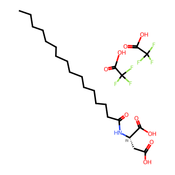 CCCCCCCCCCCCCCCC(=O)N[C@@H](CC(=O)O)C(=O)O.O=C(O)C(F)(F)F.O=C(O)C(F)(F)F